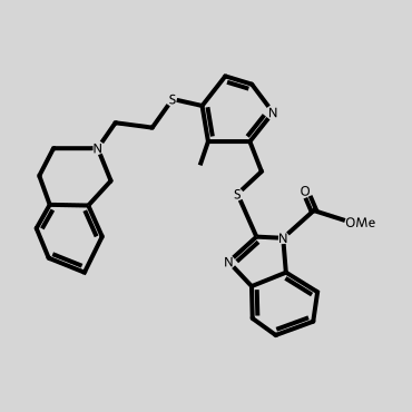 COC(=O)n1c(SCc2nccc(SCCN3CCc4ccccc4C3)c2C)nc2ccccc21